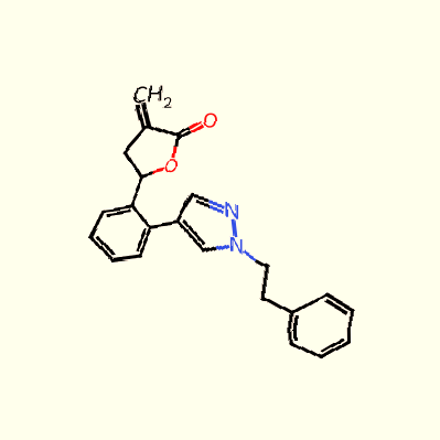 C=C1CC(c2ccccc2-c2cnn(CCc3ccccc3)c2)OC1=O